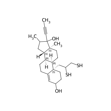 CC#CC1(O)C(C)C[C@H]2[C@@H]3CCC4=CC(O)CC[C@]4(CC(S)CS)[C@@H]3CC[C@@]21C